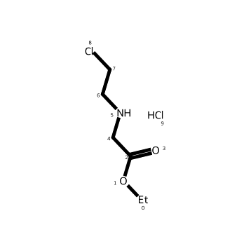 CCOC(=O)CNCCCl.Cl